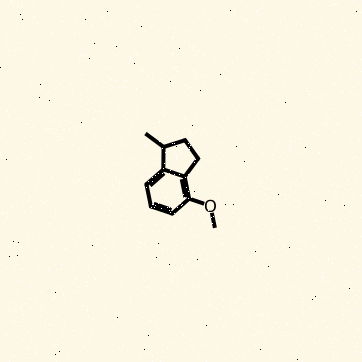 COc1cccc2c1CCC2C